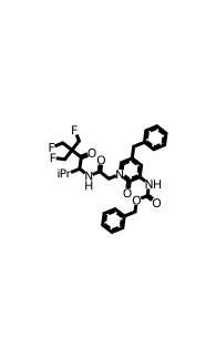 CC(C)C(NC(=O)Cn1cc(Cc2ccccc2)cc(NC(=O)OCc2ccccc2)c1=O)C(=O)C(CF)(CF)CF